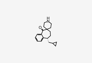 O=C1c2ccccc2[C@@H](CC2CC2)CCC12CCNCC2